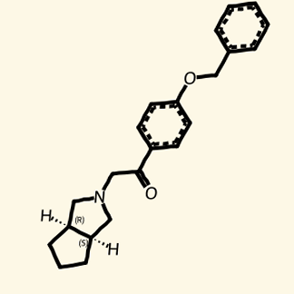 O=C(CN1C[C@H]2CCC[C@H]2C1)c1ccc(OCc2ccccc2)cc1